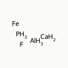 P.[AlH3].[CaH2].[F].[Fe]